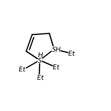 CC[SH]1CC=C[SH]1(CC)(CC)CC